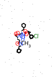 CN(CCc1ccccc1)C(=O)CC[C@@H](C=O)NC(=O)[C@H](CCC1CCCCC1)NC(=O)OC1(c2cccc(Cl)c2)CC1